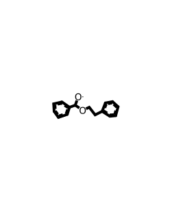 [O]C(OCCc1ccccc1)c1ccccc1